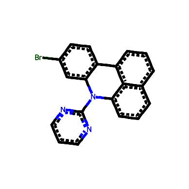 Brc1ccc2c(c1)N(c1ncccn1)c1cccc3cccc-2c13